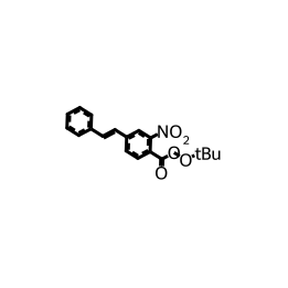 CC(C)(C)OOC(=O)c1ccc(/C=C/c2ccccc2)cc1[N+](=O)[O-]